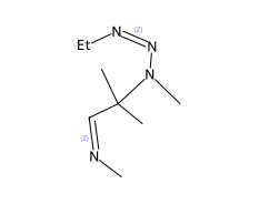 CC/N=N\N(C)C(C)(C)/C=N\C